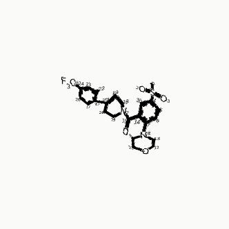 CS(=O)(=O)c1ccc(N2CCOCC2)c(C(=O)N2CC=C(c3ccc(C(F)(F)F)cc3)CC2)c1